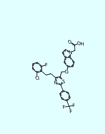 O=C(O)Cn1ccc2cc(OCc3sc(-c4ccc(C(F)(F)F)cc4)nc3CCc3c(F)cccc3Cl)ccc21